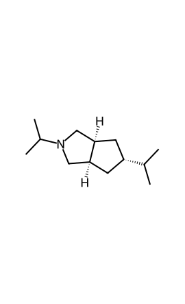 CC(C)[C@H]1C[C@@H]2CN(C(C)C)C[C@@H]2C1